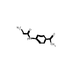 CCC(=O)Nc1ccc(C(C)=O)cc1